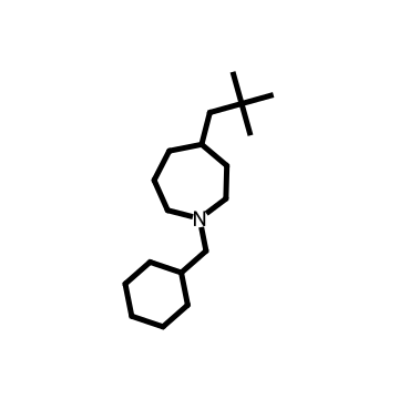 CC(C)(C)CC1CCCN(CC2CCCCC2)CC1